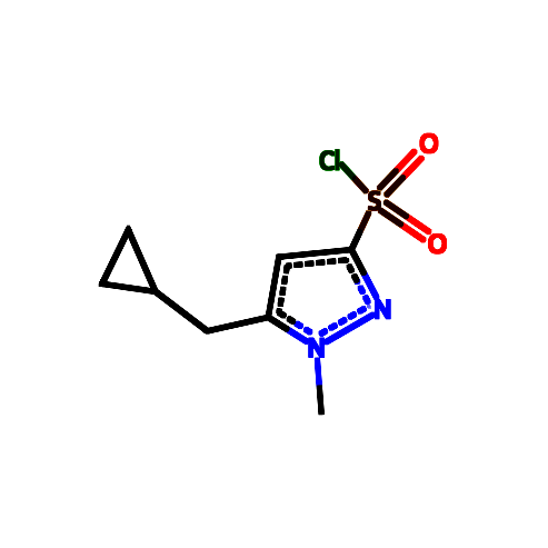 Cn1nc(S(=O)(=O)Cl)cc1CC1CC1